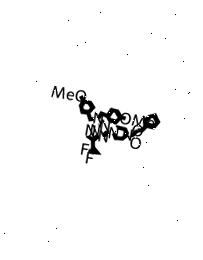 COc1ccc(CN(Cc2ccc(OC)cc2)c2nc(N3CCN(C(=O)OCc4ccccc4)CC3)nc3c(C4CC4(F)F)cnn23)cc1